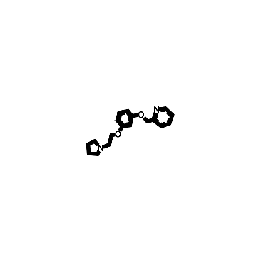 [c]1ccc(OCc2ccccn2)cc1OCCN1CCCC1